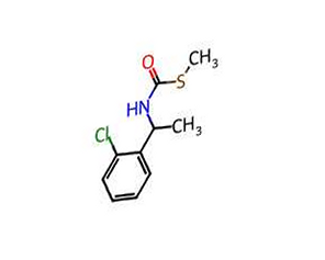 CSC(=O)NC(C)c1ccccc1Cl